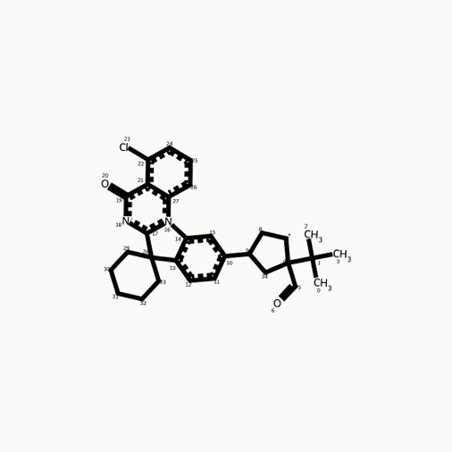 CC(C)(C)C1(C=O)CCC(c2ccc3c(c2)-n2c(nc(=O)c4c(Cl)cccc42)C32CCCCC2)C1